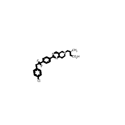 C[C@H](CC(=O)O)CN1CCc2nc(-c3ccc(C(F)(F)Cc4ccc(Cl)cc4)cc3)ncc2C1